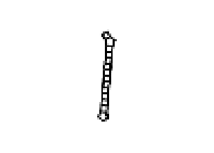 C1=C2C(CC1)C1C2C2C1C1C2C2C1C1C2C2C3C4C5C6C7CC8CCC8C7C6C5C4C3C12